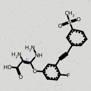 CS(=O)(=O)c1cccc(C#Cc2cc(O/C(NN)=C(/N)C(=O)O)ccc2F)c1